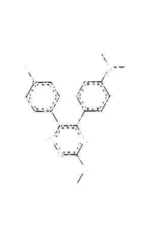 CSc1nnc(-c2ccc(F)cc2)c(-c2ccc(N(C)C)cc2)n1